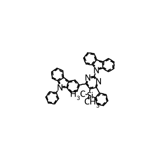 C[Si]1(C)c2ccccc2-c2nc(-n3c4ccccc4c4ccccc43)nc(-c3ccc4c(c3)c3ccccc3n4-c3ccccc3)c21